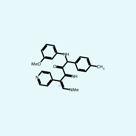 CN/C=C(\C(=N)C(=O)C(Nc1cccc(OC)c1)c1ccc(C)cc1)c1ccncc1